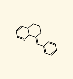 C1=CC2CCCC(=Cc3ccccc3)C2N=C1